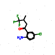 CC(CC(=O)c1cc(Cl)ccc1N)C(F)(F)F